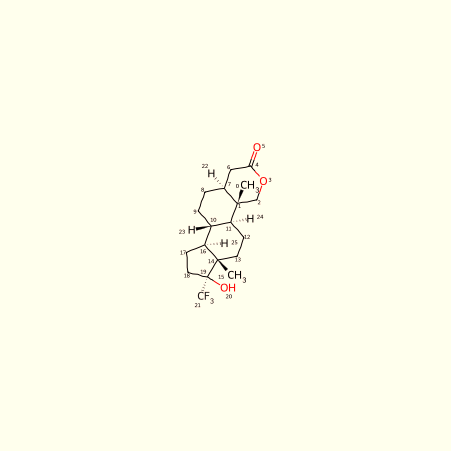 C[C@]12COC(=O)C[C@@H]1CC[C@@H]1[C@@H]2CC[C@@]2(C)[C@H]1CC[C@@]2(O)C(F)(F)F